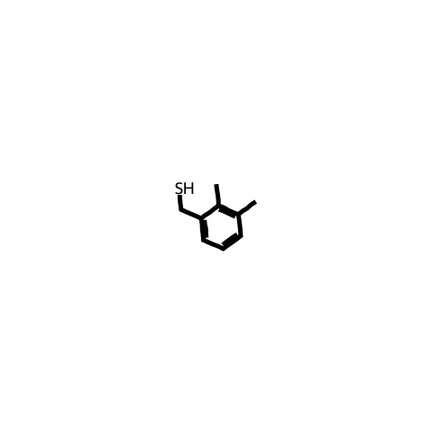 Cc1cccc(CS)c1C